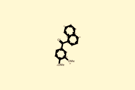 COc1ccc(C(=O)c2cccc3ccccc23)cc1OC